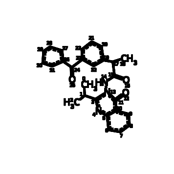 CC(C)c1nc2ccccc2c(=O)n1NC(=O)C(C)c1cccc(C(=O)c2ccccc2)c1